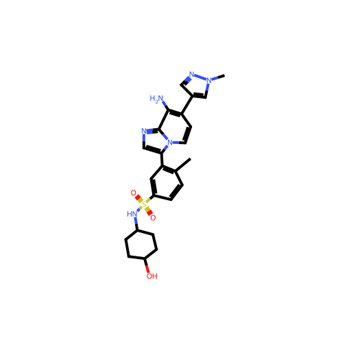 Cc1ccc(S(=O)(=O)NC2CCC(O)CC2)cc1-c1cnc2c(N)c(-c3cnn(C)c3)ccn12